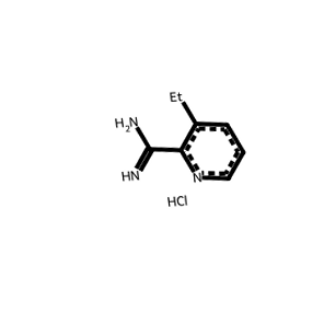 CCc1cccnc1C(=N)N.Cl